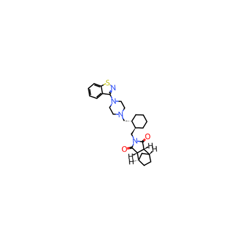 O=C1[C@@H]2[C@@H]3CC[C@H](C3)[C@@H]2C(=O)N1C[C@@H]1CCCC[C@H]1CN1CCN(c2nsc3ccccc23)CC1